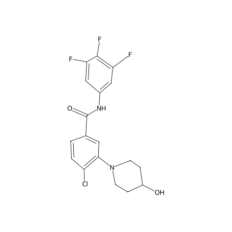 O=C(Nc1cc(F)c(F)c(F)c1)c1ccc(Cl)c(N2CCC(O)CC2)c1